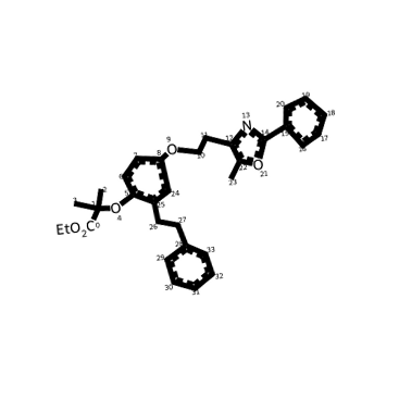 CCOC(=O)C(C)(C)Oc1ccc(OCCc2nc(-c3ccccc3)oc2C)cc1CCc1ccccc1